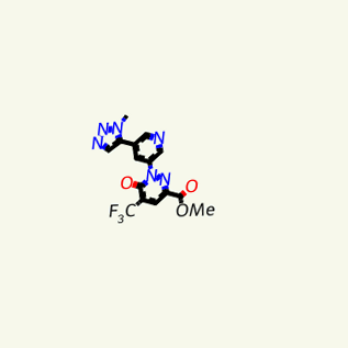 COC(=O)c1cc(C(F)(F)F)c(=O)n(-c2cncc(-c3cnnn3C)c2)n1